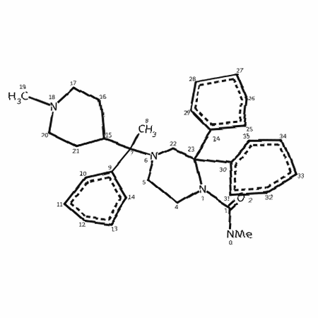 CNC(=O)N1CCN(C(C)(c2ccccc2)C2CCN(C)CC2)CC1(c1ccccc1)c1ccccc1